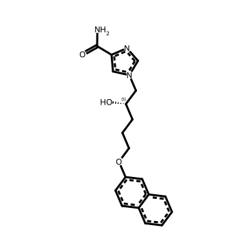 NC(=O)c1cn(C[C@@H](O)CCCOc2ccc3ccccc3c2)cn1